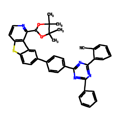 CC1(C)OB(c2nccc3sc4ccc(-c5ccc(-c6nc(-c7ccccc7)nc(-c7ccccc7C#N)n6)cc5)cc4c23)OC1(C)C